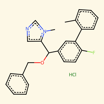 Cc1ccccc1-c1cc(C(OCc2ccccc2)c2cncn2C)ccc1F.Cl